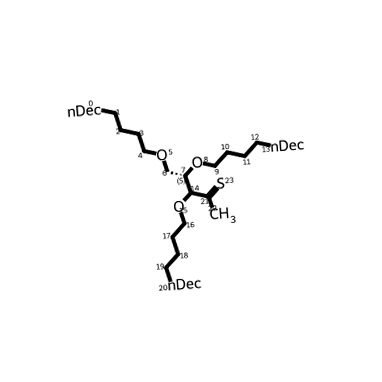 CCCCCCCCCCCCCCOC[C@H](OCCCCCCCCCCCCCC)C(OCCCCCCCCCCCCCC)C(C)=S